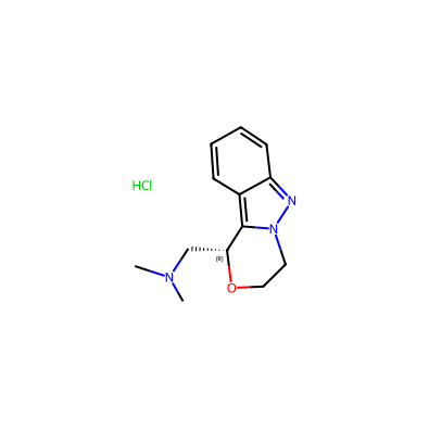 CN(C)C[C@H]1OCCn2nc3ccccc3c21.Cl